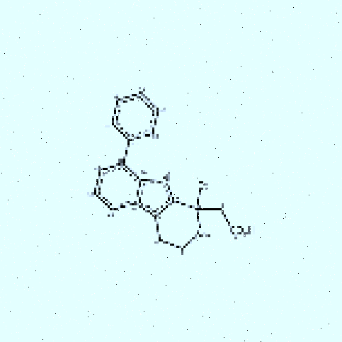 CCC1(CC(=O)O)OCCc2c1[nH]c1c(-c3ccccc3)cccc21